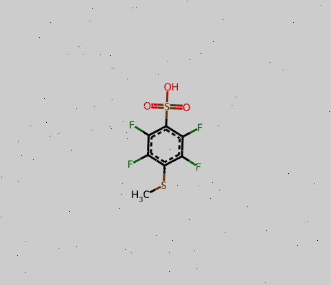 CSc1c(F)c(F)c(S(=O)(=O)O)c(F)c1F